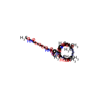 CCOCCNC(=O)CCOCCOCCOCCOCCNC(=O)O[C@@H]1CC[C@@H](C[C@@H](N)[C@@H]2CC(=O)[C@H](C)/C=C(\C)[C@@H](O)[C@@H](O)C(=O)[C@H](C)C[C@H](C)/C=C/C=C/C=C(\C)[C@@H](OC)C[C@@H]3CC[C@@H](C)[C@@](O)(O3)C(=O)C(=O)N3CCCC[C@H]3C(=O)O2)C[C@H]1OC